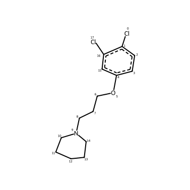 Clc1ccc(OCCCN2CCCCC2)cc1Cl